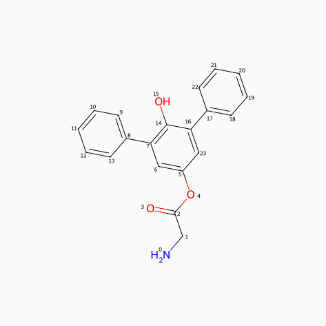 NCC(=O)Oc1cc(-c2ccccc2)c(O)c(-c2ccccc2)c1